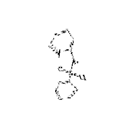 O=S(=O)([N]c1ccccn1)c1ccccc1